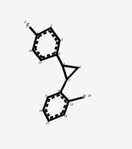 Fc1ccc([C]2CC2c2ccccc2F)cc1